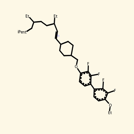 CCCC(C)CC(CC)CCC(/C=C/C1CCC(COc2ccc(-c3ccc(OCC)c(F)c3F)c(F)c2F)CC1)CC